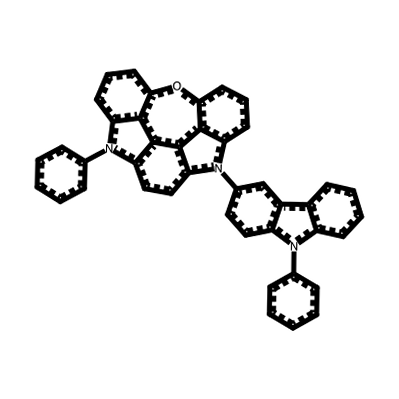 c1ccc(-n2c3ccccc3c3cc(-n4c5cccc6oc7cccc8c7c7c(c65)c4ccc7n8-c4ccccc4)ccc32)cc1